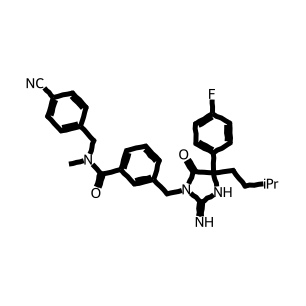 CC(C)CCC1(c2ccc(F)cc2)NC(=N)N(Cc2cccc(C(=O)N(C)Cc3ccc(C#N)cc3)c2)C1=O